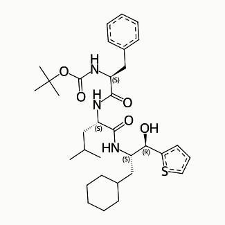 CC(C)C[C@H](NC(=O)[C@H](Cc1ccccc1)NC(=O)OC(C)(C)C)C(=O)N[C@@H](CC1CCCCC1)[C@@H](O)c1cccs1